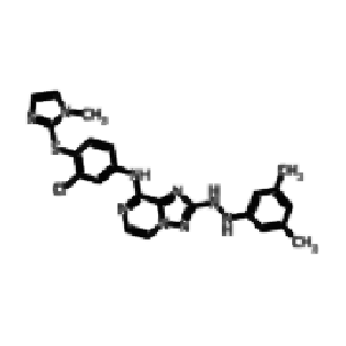 Cc1cc(C)cc(NNc2nc3c(Nc4ccc(Sc5nccn5C)c(Cl)c4)nccn3n2)c1